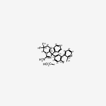 CC(=O)O.NC1=NC(c2ccncc2)(c2ccc(F)c(-c3cccnc3F)c2)C2=NCC(F)(F)CN12